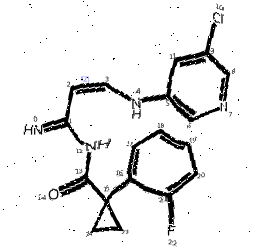 N=C(/C=C\Nc1cncc(Cl)c1)NC(=O)C1(c2ccccc2F)CC1